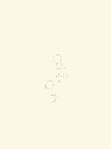 O=S(=O)(Nc1nc2cc(Cl)ccc2o1)c1cccc(-c2ncco2)c1